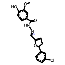 COc1cc(C(=O)N/N=C/C2=CCC(c3cccc(Cl)c3)O2)ccc1O